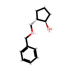 O[C@@H]1CCC[C@H]1COCc1ccccc1